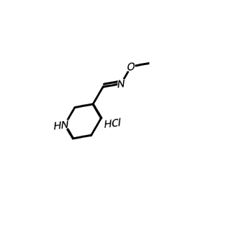 CON=CC1CCCNC1.Cl